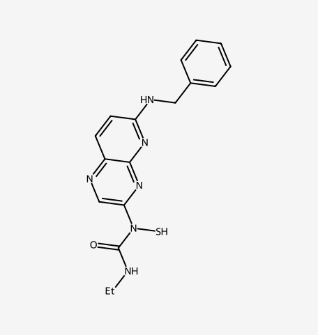 CCNC(=O)N(S)c1cnc2ccc(NCc3ccccc3)nc2n1